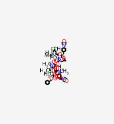 CN[C@H](CO[C@H](Cc1ccc(N2CCOCC2)cc1)C(=O)N(C)[C@@H](CC1CC1)C(=O)O[C@H](C)C(=O)N(C)[C@@H](CC(C)(C)F)C(=O)O[C@H](Cc1ccc(N2CCOCC2)cc1)C(=O)N(C)[C@@H](CC1CC1)C(=O)O[C@H](C)C(=O)OCc1ccccc1)CC(C)(C)F